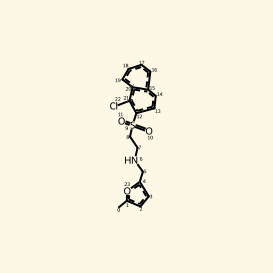 Cc1ccc(CNCCS(=O)(=O)c2ccc3ccccc3c2Cl)o1